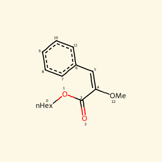 CCCCCCOC(=O)C(=Cc1ccccc1)OC